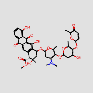 COC(=O)[C@@H]1c2cc3c(c(O)c2C(OC2CC(N(C)C)C(OC4CC(O)C(OC5CCC(=O)C(C)O5)C(C)O4)C(C)O2)CC1(C)O)C(=O)c1c(O)cccc1C3=O